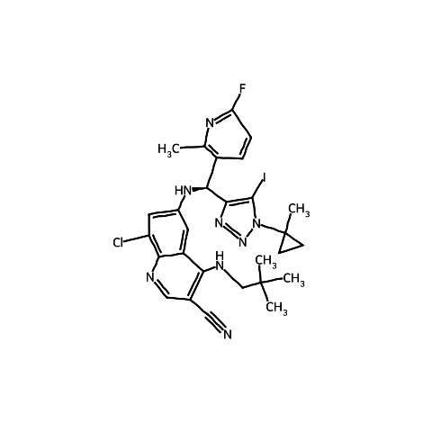 Cc1nc(F)ccc1[C@H](Nc1cc(Cl)c2ncc(C#N)c(NCC(C)(C)C)c2c1)c1nnn(C2(C)CC2)c1I